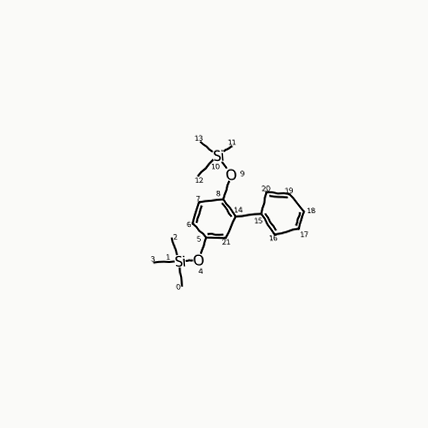 C[Si](C)(C)Oc1ccc(O[Si](C)(C)C)c(-c2ccccc2)c1